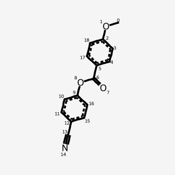 COc1ccc(C(=O)Oc2ccc(C#N)cc2)cc1